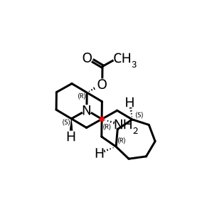 CC(=O)O[C@]12CCC[C@@H](C[C@@H](N)C1)N2C1C[C@H]2CCCC[C@@H](C1)C2